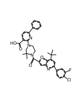 CC(C)(C)c1cc(-c2ccc(Cl)c(F)c2)nc2cc(C(=O)N3CCN(c4nc(-c5ccccc5)ccc4C(=O)O)CC3(C)C)oc12